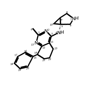 Cc1nc(N[C@@]23CNCC2C3)c2c(n1)C(c1ccccc1)CCC2